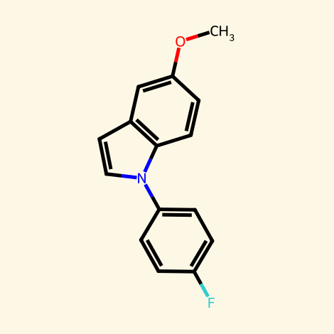 COc1ccc2c(ccn2-c2ccc(F)cc2)c1